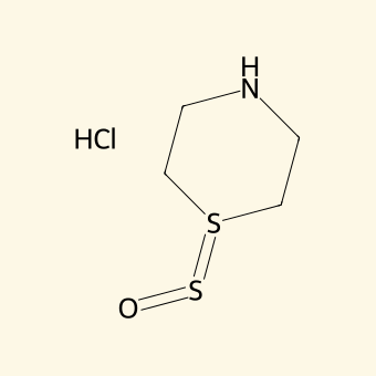 Cl.O=S=S1CCNCC1